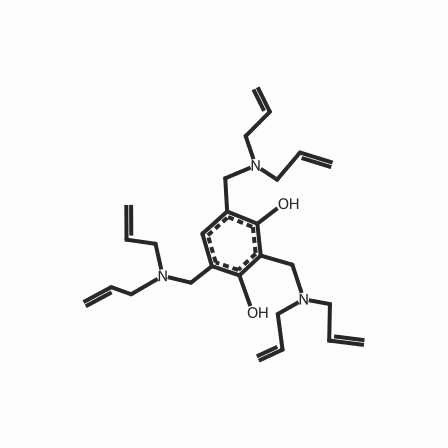 C=CCN(CC=C)Cc1cc(CN(CC=C)CC=C)c(O)c(CN(CC=C)CC=C)c1O